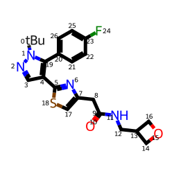 CC(C)(C)n1ncc(-c2nc(CC(=O)NCC3COC3)cs2)c1-c1ccc(F)cc1